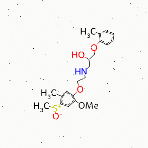 COc1cc([S+](C)[O-])c(C)cc1OCCNCC(O)COc1ccccc1C